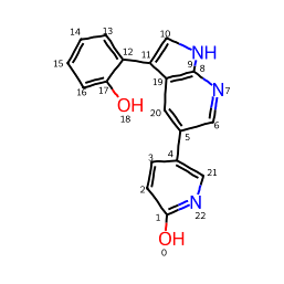 Oc1ccc(-c2cnc3[nH]cc(-c4ccccc4O)c3c2)cn1